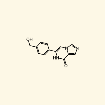 O=c1[nH]c(-c2ccc(CO)cc2)cn2cncc12